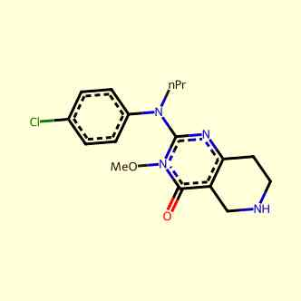 CCCN(c1ccc(Cl)cc1)c1nc2c(c(=O)n1OC)CNCC2